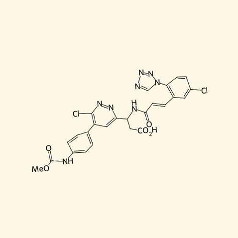 COC(=O)Nc1ccc(-c2cc(C(CC(=O)O)NC(=O)C=Cc3cc(Cl)ccc3-n3cnnn3)nnc2Cl)cc1